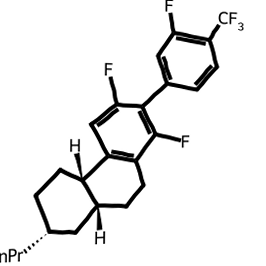 CCC[C@@H]1CC[C@@H]2c3cc(F)c(-c4ccc(C(F)(F)F)c(F)c4)c(F)c3CC[C@@H]2C1